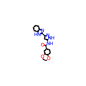 O=C(Nc1cc(-c2nc3ccccc3[nH]2)n[nH]1)c1ccc2c(c1)OCCO2